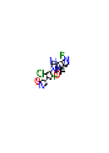 COc1cc(-c2cc(F)c(NC(=O)N3[C@H]4CC[C@@H]3c3ccnc(F)c3C4)cc2Cl)ccn1